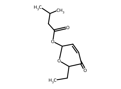 CCC1OC(OC(=O)CC(C)C)C=CC1=O